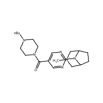 CCCCN1CCN(C(=O)c2cnc(N3C4CCC3CN(C)C4)nc2)CC1